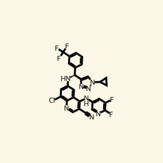 N#Cc1cnc2c(Cl)cc(N[C@@H](c3cccc(C(F)(F)F)c3)c3cn(C4CC4)nn3)cc2c1Nc1cnc(F)c(F)c1